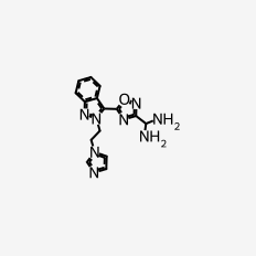 NC(N)c1noc(-c2c3ccccc3nn2CCn2ccnc2)n1